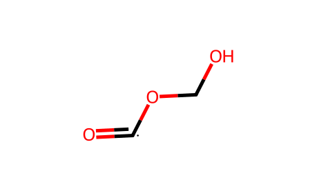 O=[C]OCO